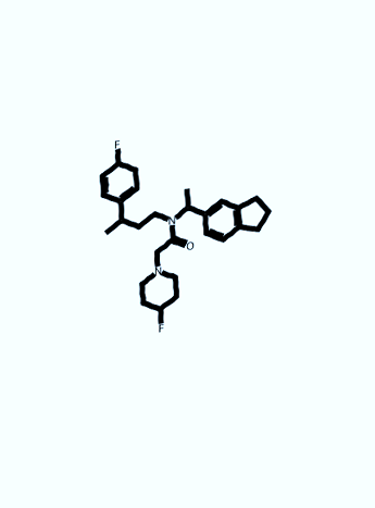 CC(CCN(C(=O)CN1CCC(F)CC1)C(C)c1ccc2c(c1)CCC2)C1=CCC(F)C=C1